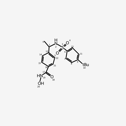 CC(NS(=O)(=O)c1ccc(C(C)(C)C)cc1)c1ccc(C(=O)NO)cc1